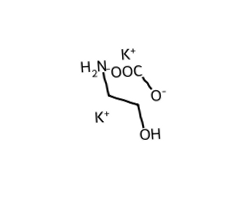 NCCO.O=C([O-])[O-].[K+].[K+]